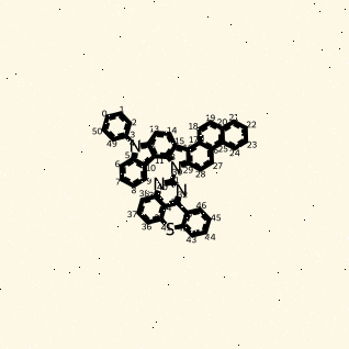 c1ccc(-n2c3ccccc3c3c2ccc2c4c5ccc6ccccc6c5ccc4n(-c4nc5c6c(cccc6n4)Sc4ccccc4-5)c23)cc1